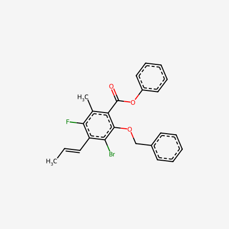 CC=Cc1c(F)c(C)c(C(=O)Oc2ccccc2)c(OCc2ccccc2)c1Br